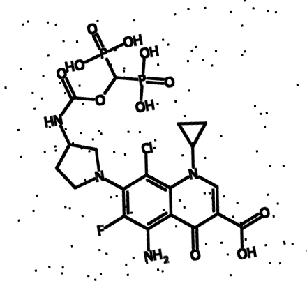 Nc1c(F)c(N2CCC(NC(=O)OC(P(=O)(O)O)P(=O)(O)O)C2)c(Cl)c2c1c(=O)c(C(=O)O)cn2C1CC1